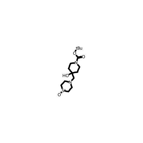 CC(C)(C)OC(=O)N1CCC(O)(CN2CC[S+]([O-])CC2)CC1